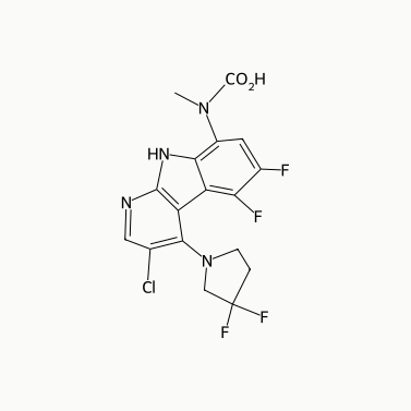 CN(C(=O)O)c1cc(F)c(F)c2c1[nH]c1ncc(Cl)c(N3CCC(F)(F)C3)c12